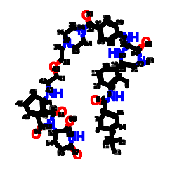 Cc1c(NC(=O)c2ccc(C(C)(C)C)cc2)cccc1C1=CN(C)C(=O)C(Nc2ccc(C(=O)N3CCN(CCOCCNc4cccc5c4C(=O)N(C4CCC(=O)NC4=O)C5=O)CC3)cc2)N1